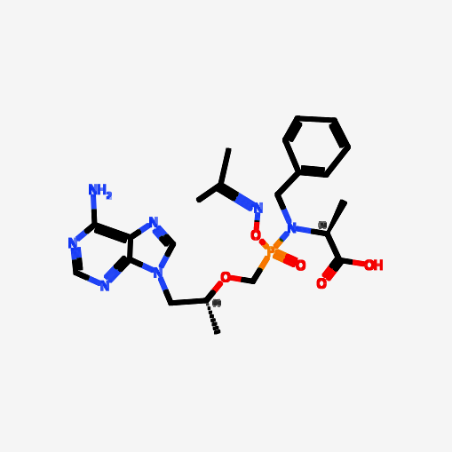 CC(C)=NOP(=O)(CO[C@H](C)Cn1cnc2c(N)ncnc21)N(Cc1ccccc1)[C@@H](C)C(=O)O